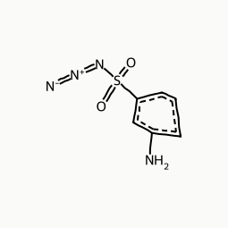 [N-]=[N+]=NS(=O)(=O)c1cccc(N)c1